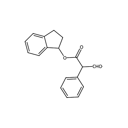 O=[C]C(C(=O)OC1CCc2ccccc21)c1ccccc1